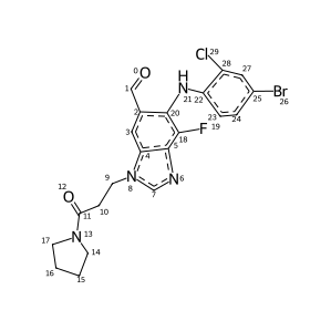 O=Cc1cc2c(ncn2CCC(=O)N2CCCC2)c(F)c1Nc1ccc(Br)cc1Cl